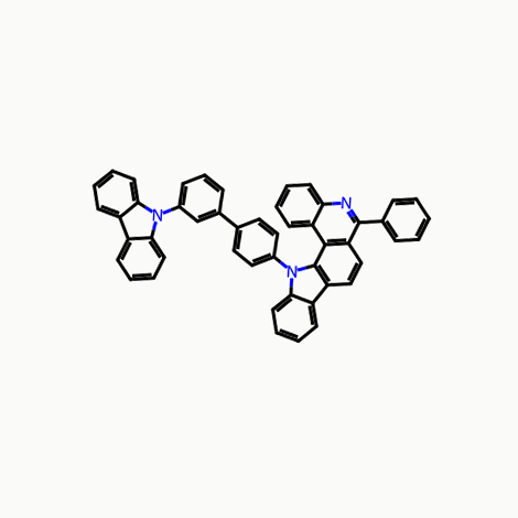 c1ccc(-c2nc3ccccc3c3c2ccc2c4ccccc4n(-c4ccc(-c5cccc(-n6c7ccccc7c7ccccc76)c5)cc4)c23)cc1